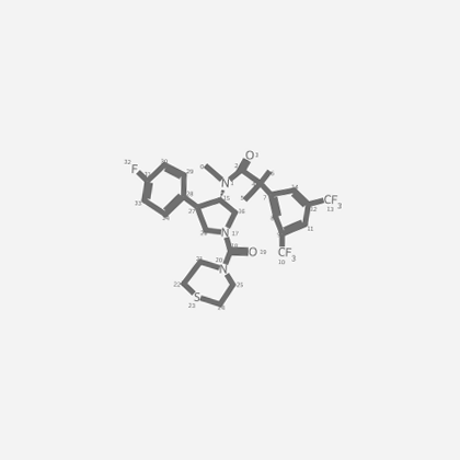 CN(C(=O)C(C)(C)c1cc(C(F)(F)F)cc(C(F)(F)F)c1)[C@@H]1CN(C(=O)N2CCSCC2)CC1c1ccc(F)cc1